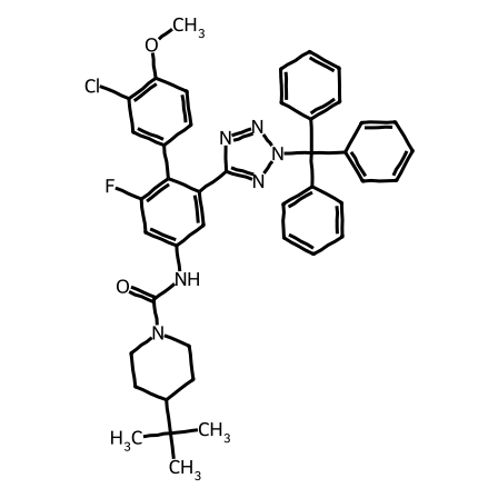 COc1ccc(-c2c(F)cc(NC(=O)N3CCC(C(C)(C)C)CC3)cc2-c2nnn(C(c3ccccc3)(c3ccccc3)c3ccccc3)n2)cc1Cl